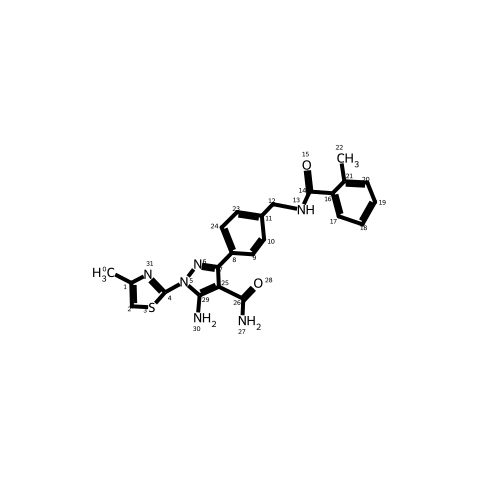 Cc1csc(-n2nc(-c3ccc(CNC(=O)c4ccccc4C)cc3)c(C(N)=O)c2N)n1